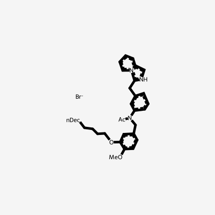 CCCCCCCCCCCCCCOc1cc(CN(C(C)=O)c2cccc(Cc3[nH]cc4cccc[n+]34)c2)ccc1OC.[Br-]